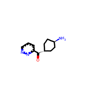 N[C@H]1CC[C@H](C(=O)c2cccnn2)CC1